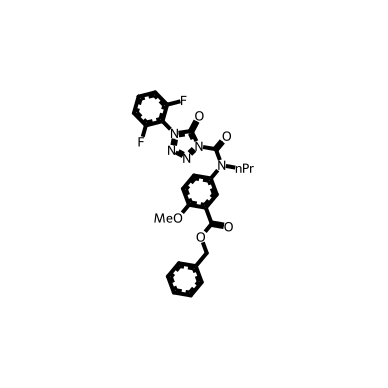 CCCN(C(=O)n1nnn(-c2c(F)cccc2F)c1=O)c1ccc(OC)c(C(=O)OCc2ccccc2)c1